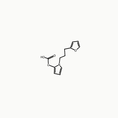 O=C(O)Oc1cccn1CCCc1ccco1